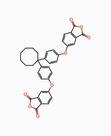 O=C1OC(=O)c2cc(Oc3ccc(C4(c5ccc(Oc6ccc7c(c6)C(=O)OC7=O)cc5)CCCCCCC4)cc3)ccc21